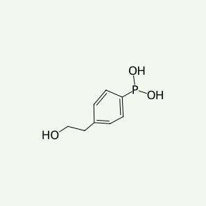 OCCc1ccc(P(O)O)cc1